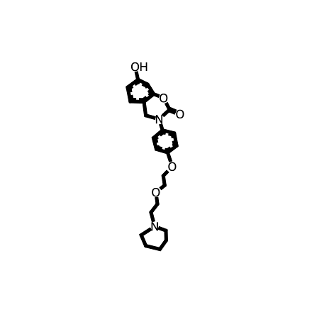 O=C1Oc2cc(O)ccc2CN1c1ccc(OCCOCCN2CCCCC2)cc1